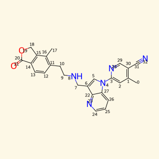 Cc1cc(-n2cc(CNCCc3ccc4c(c3C)COC4=O)c3ncccc32)ncc1C#N